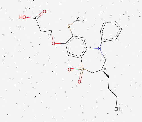 CCCC[C@@H]1CN(c2ccccc2)c2cc(SC)c(OCCC(=O)O)cc2S(=O)(=O)C1